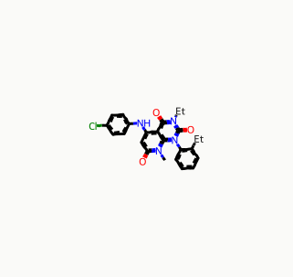 CCc1ccccc1-n1c(=O)n(CC)c(=O)c2c(Nc3ccc(Cl)cc3)cc(=O)n(C)c21